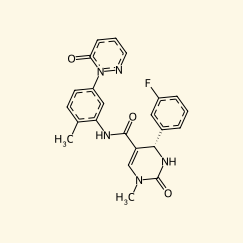 Cc1ccc(-n2ncccc2=O)cc1NC(=O)C1=CN(C)C(=O)N[C@H]1c1cccc(F)c1